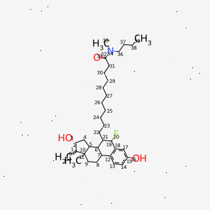 C=C1[C@H](O)CC2C3C(CC[C@]12C)c1ccc(O)cc1[C@H](F)C3CCCCCCCCCCC(=O)N(C)CCCC